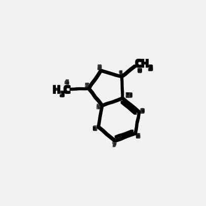 CC1CC(C)C2CC=CC=C12